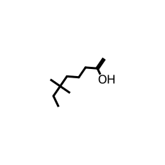 C=C(O)CCCC(C)(C)CC